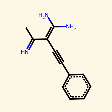 CC(=N)C(C#Cc1ccccc1)=C(N)N